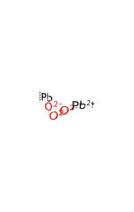 [O-2].[O-2].[O-2].[Pb+2].[Pb]